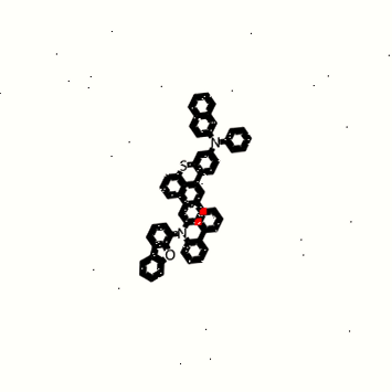 c1ccc(-c2ccccc2N(c2ccc3cc4c5c(cccc5c3c2)Sc2cc(N(c3ccccc3)c3ccc5ccccc5c3)ccc2-4)c2cccc3c2oc2ccccc23)cc1